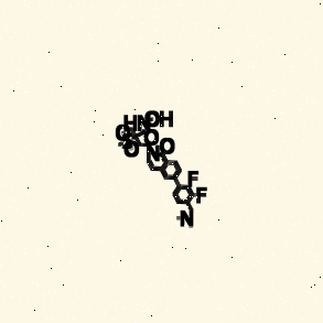 CN(C)Cc1ccc(-c2ccc3c(=O)n(CCC(C)(C(=O)NO)S(C)(=O)=O)ccc3c2)c(F)c1F